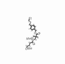 CCSSCc1ccc(COC(=O)C(C)(COC)COC(=O)CCCOC)cc1